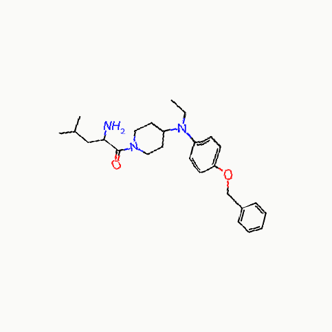 CCN(c1ccc(OCc2ccccc2)cc1)C1CCN(C(=O)C(N)CC(C)C)CC1